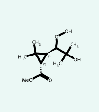 COC(=O)[C@H]1[C@H](C(OO)C(C)(C)O)C1(C)C